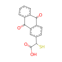 O=C1c2ccccc2C(=O)c2cc(C(S)C(=O)O)ccc21